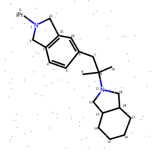 CC(C)N1Cc2ccc(CC(C)(C)N3CC4CCCCC4C3)cc2C1